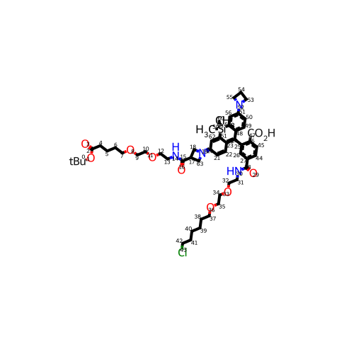 CC(C)(C)OC(=O)CCCCOCCOCCNC(=O)C1C[N+](=C2C=CC3=C(c4cc(C(=O)NCCOCCOCCCCCCCl)ccc4C(=O)O)c4ccc(N5CCC5)cc4[Si](C)(C)C3=C2)C1